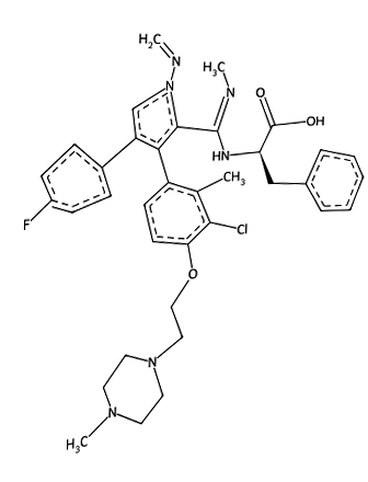 C=Nn1cc(-c2ccc(F)cc2)c(-c2ccc(OCCN3CCN(C)CC3)c(Cl)c2C)c1/C(=N\C)N[C@H](Cc1ccccc1)C(=O)O